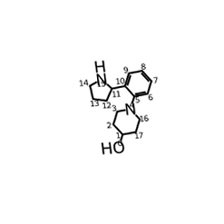 OC1CCN(c2ccccc2C2CCCN2)CC1